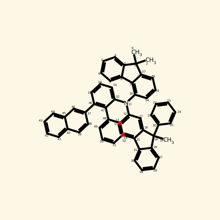 CC1(C)c2ccccc2-c2c(N(c3ccc4c(c3)C(C)(c3ccccc3)c3ccccc3-4)c3cccc(-c4ccc5ccccc5c4)c3-c3ccccc3)cccc21